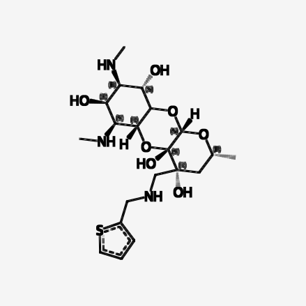 CN[C@@H]1[C@H](O)[C@H](NC)[C@H]2O[C@]3(O)[C@H](OC2[C@H]1O)O[C@H](C)C[C@@]3(O)CNCc1cccs1